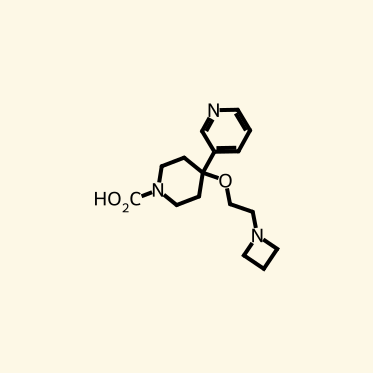 O=C(O)N1CCC(OCCN2CCC2)(c2cccnc2)CC1